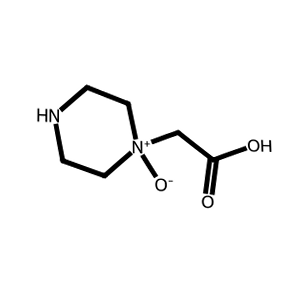 O=C(O)C[N+]1([O-])CCNCC1